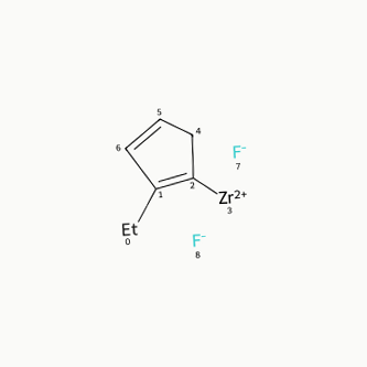 CCC1=[C]([Zr+2])CC=C1.[F-].[F-]